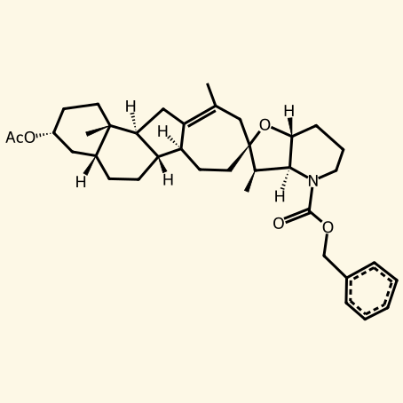 CC(=O)O[C@@H]1CC[C@@]2(C)[C@H](CC[C@H]3[C@@H]4CC[C@@]5(CC(C)=C4C[C@@H]32)O[C@@H]2CCCN(C(=O)OCc3ccccc3)[C@H]2[C@H]5C)C1